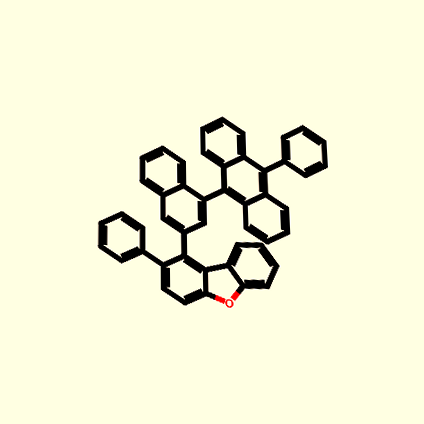 c1ccc(-c2ccc3oc4ccccc4c3c2-c2cc(-c3c4ccccc4c(-c4ccccc4)c4ccccc34)c3ccccc3c2)cc1